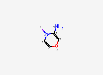 NC1=COC=CN1I